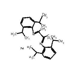 CC(=Nc1c(C(C)C)cccc1C(C)C)C(C)=Nc1c(C(C)C)cccc1C(C)C.[Ni]